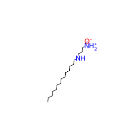 CCCCCCCCCCCCCCNCCC[NH2+][O-]